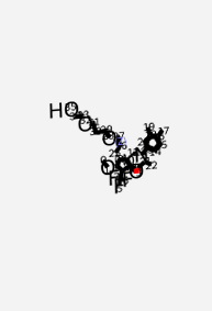 COC1C(C(F)(F)F)C(=O)[C@H](CN(c2ccc(C)c(C)c2)C(C)C)[C@H]1C/C=C\OCCCOCCO